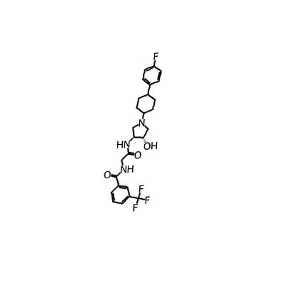 O=C(CNC(=O)c1cccc(C(F)(F)F)c1)N[C@H]1CN(C2CCC(c3ccc(F)cc3)CC2)C[C@@H]1O